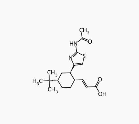 CC(=O)Nc1nc([C@@H]2C[C@@H](C(C)(C)C)CCC2/C=C/C(=O)O)cs1